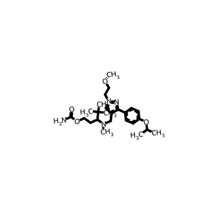 COCCn1cc(CN(C)C(CCOC(N)=O)C(C)(C)C)c(-c2ccc(OC(C)C)cc2)n1